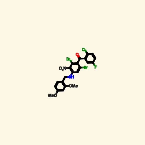 COc1ccc(CNc2cc(Br)c(C(=O)c3cc(F)ccc3Cl)c(Br)c2[N+](=O)[O-])c(OC)c1